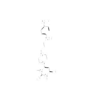 Cn1c(N2CCN(CCCNc3ccc([N+](=O)[O-])cc3)CC2)cc(=O)n(C)c1=O